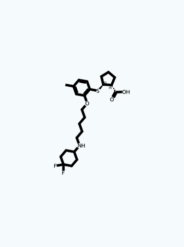 Cc1ccc(S[C@H]2CCC[C@@H]2C(=O)O)c(OCCCCCNC2CCC(F)(F)CC2)c1